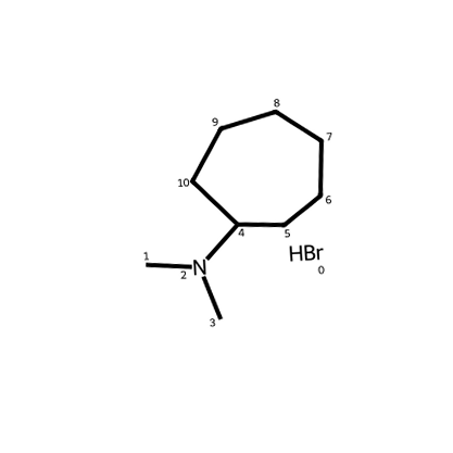 Br.CN(C)C1CCCCCC1